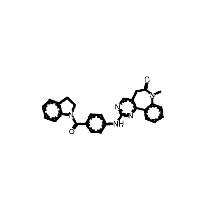 CN1C(=O)Cc2cnc(Nc3ccc(C(=O)N4CCc5ccccc54)cc3)nc2-c2ccccc21